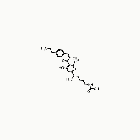 CCCc1ccc(C=C(C)C(=O)c2c(O)cc(C(C)CCC=CNC(=O)O)oc2=O)cc1